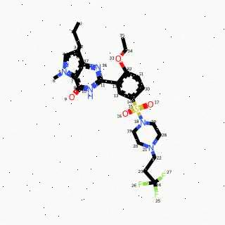 CCCc1cn(C)c2c(=O)[nH]c(-c3cc(S(=O)(=O)N4CCN(CCC(F)(F)F)CC4)ccc3OCC)nc12